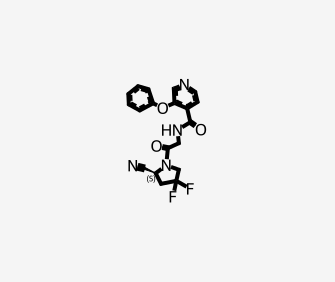 N#C[C@@H]1CC(F)(F)CN1C(=O)CNC(=O)c1ccncc1Oc1ccccc1